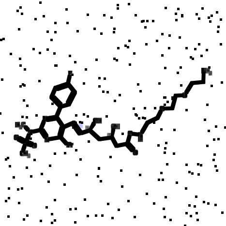 CC(C)c1nc(N(C)S(C)(=O)=O)nc(-c2ccc(F)cc2)c1/C=C/[C@@H](O)C[C@@H](O)CC(=O)ONCCOCCOCCN